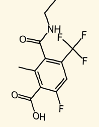 CCNC(=O)c1c(C(F)(F)F)cc(F)c(C(=O)O)c1C